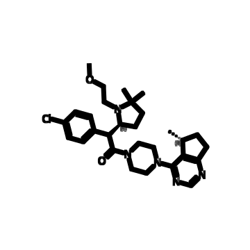 COCCN1[C@H](C(C(=O)N2CCN(c3ncnc4c3[C@H](C)CC4)CC2)c2ccc(Cl)cc2)CCC1(C)C